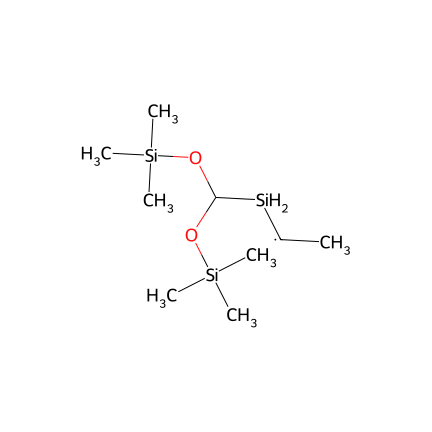 C[CH][SiH2]C(O[Si](C)(C)C)O[Si](C)(C)C